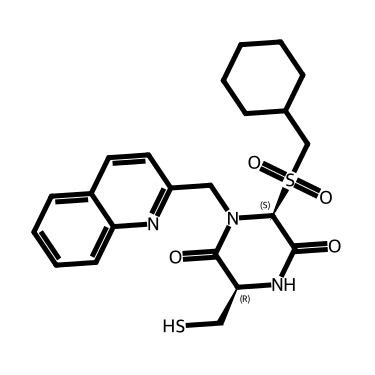 O=C1N[C@@H](CS)C(=O)N(Cc2ccc3ccccc3n2)[C@H]1S(=O)(=O)CC1CCCCC1